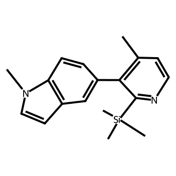 Cc1ccnc([Si](C)(C)C)c1-c1ccc2c(ccn2C)c1